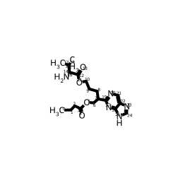 CCCC(=O)OCC(CCCOC(=O)[C@@H](N)C(C)C)c1ncc2nc[nH]c2n1